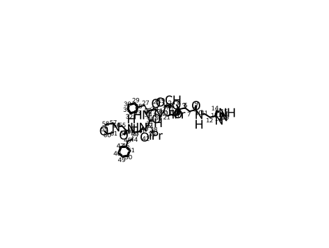 CC[C@@](C)(OC(=O)CCC(=O)NCCc1c[nH]nn1)C(=O)[C@H](CC(C)C)NC(=O)[C@H](Cc1ccccc1)NC(=O)[C@H](CC(C)C)NC(=O)[C@H](CCc1ccccc1)NC(=O)CN1CCOCC1